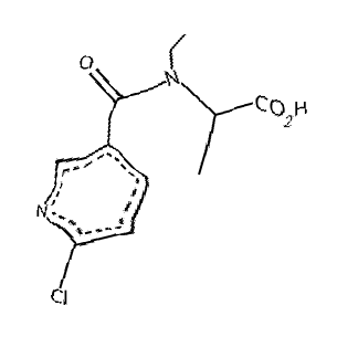 CC(C(=O)O)N(C)C(=O)c1ccc(Cl)nc1